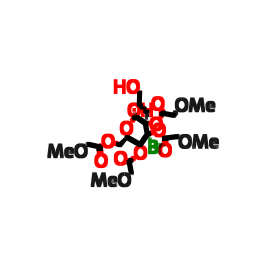 COCC(=O)OC[C@H]1O[C@H](O)[C@@](CCCO)(OC(=O)COC)[C@@](Br)(OC(=O)COC)[C@H]1OC(=O)COC